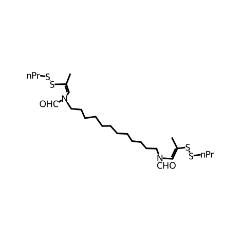 CCCSSC(C)=CN(C=O)CCCCCCCCCCCCN(C=O)C=C(C)SSCCC